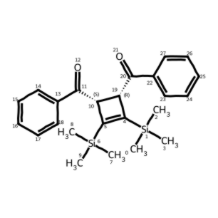 C[Si](C)(C)C1=C([Si](C)(C)C)[C@H](C(=O)c2ccccc2)[C@@H]1C(=O)c1ccccc1